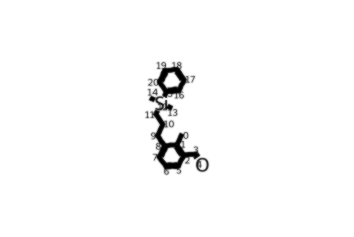 Cc1c(C=O)cccc1CCC[Si](C)(C)c1ccccc1